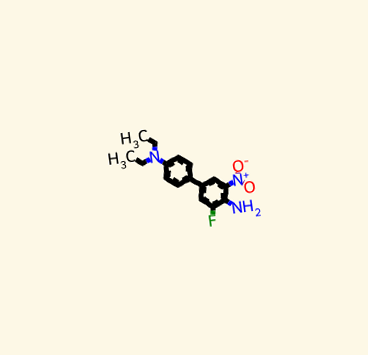 CCN(CC)c1ccc(-c2cc(F)c(N)c([N+](=O)[O-])c2)cc1